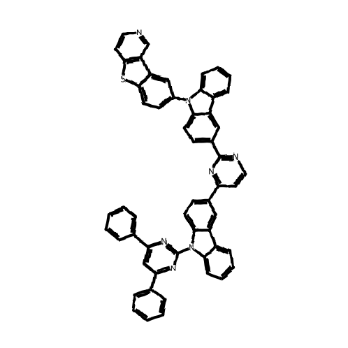 c1ccc(-c2cc(-c3ccccc3)nc(-n3c4ccccc4c4cc(-c5ccnc(-c6ccc7c(c6)c6ccccc6n7-c6ccc7sc8ccncc8c7c6)n5)ccc43)n2)cc1